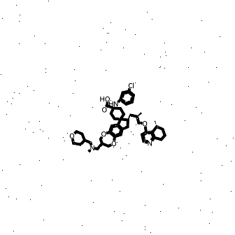 C[C@@H](COc1ccnc2c1[C@H](C)CCC2)C[C@H]1Cc2cc3c(cc2C12CCC(Nc1cccc(Cl)c1)(C(=O)O)CC2)OCC(CN(C)CC1CCOCC1)CO3